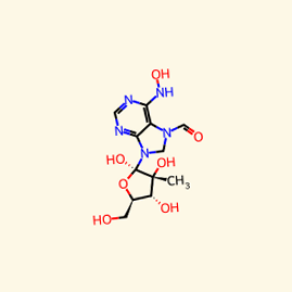 C[C@@]1(O)[C@H](O)[C@@H](CO)O[C@@]1(O)N1CN(C=O)c2c(NO)ncnc21